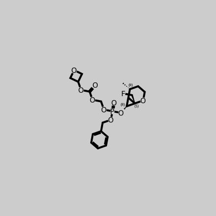 C[C@@H]1CCO[C@@]2(CF)C1[C@H]2OP(=O)(OCOC(=O)OC1COC1)OCc1ccccc1